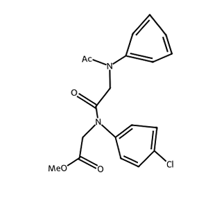 COC(=O)CN(C(=O)CN(C(C)=O)c1ccccc1)c1ccc(Cl)cc1